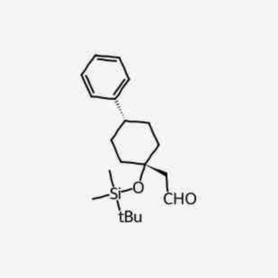 CC(C)(C)[Si](C)(C)O[C@]1(CC=O)CC[C@H](c2ccccc2)CC1